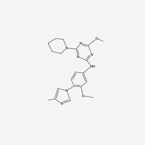 COc1nc(Nc2ccc(-n3cnc(C)c3)c(OC)c2)nc(N2CCCCC2)n1